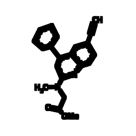 C#Cc1ccc2nc(N(C)CC(=O)OC)cc(-c3ccccc3)c2c1